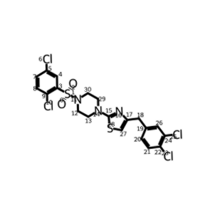 O=S(=O)(c1cc(Cl)ccc1Cl)N1CCN(c2nc(Cc3ccc(Cl)c(Cl)c3)cs2)CC1